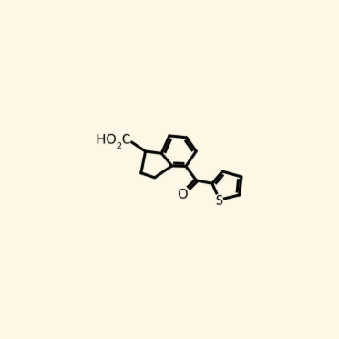 O=C(c1cccs1)c1cccc2c1CCC2C(=O)O